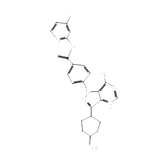 Nc1ncnc2c(C3CCC(O)CC3)nn(-c3ccc(C(=O)Nc4cc(C(F)(F)F)ccn4)cc3)c12